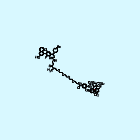 COc1cc(C(=O)NCCOCCOCCOCCOCCN(C)C(=O)CCNc2nc(N3CCN(C(C)=O)CC3)c3cc(Cl)c(-c4cc(O)cc5ccccc45)c(F)c3n2)ccc1NC(=O)[C@@H]1N[C@@H](CC(C)(C)C)[C@](C#N)(c2ccc(Cl)cc2F)[C@H]1c1cccc(Cl)c1F